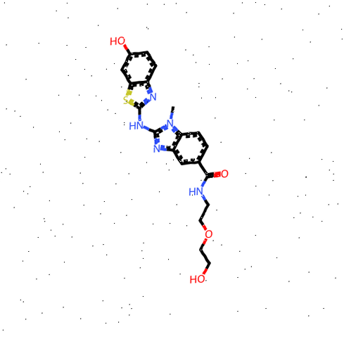 Cn1c(Nc2nc3ccc(O)cc3s2)nc2cc(C(=O)NCCOCCO)ccc21